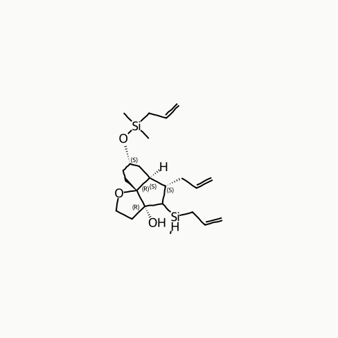 C=CC[C@@H]1C([SiH](C)CC=C)[C@@]2(O)CCO[C@@]23CC[C@H](O[Si](C)(C)CC=C)C[C@@H]13